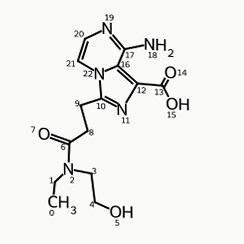 CCN(CCO)C(=O)CCc1nc(C(=O)O)c2c(N)nccn12